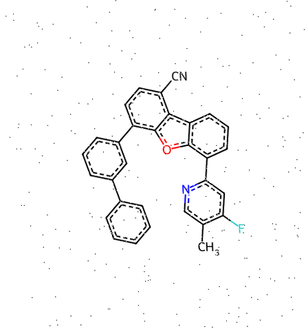 Cc1cnc(-c2cccc3c2oc2c(-c4cccc(-c5ccccc5)c4)ccc(C#N)c23)cc1F